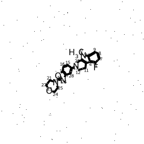 Cn1c2c(c3c(F)cccc31)CCN(c1ccc3oc(N4CCOCC4)nc3c1)C2